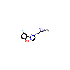 CCC(N)CNc1ccnc(-c2cc(F)ccc2O)n1